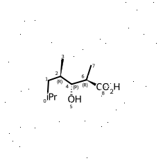 CC(C)C[C@@H](C)[C@@H](O)[C@@H](C)C(=O)O